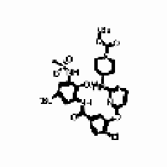 COc1c(NC(=O)c2ccc(Cl)c(Oc3ccnc(NC4CCN(C(=O)OC(C)(C)C)CC4)n3)c2)cc(C(C)(C)C)cc1NS(C)(=O)=O